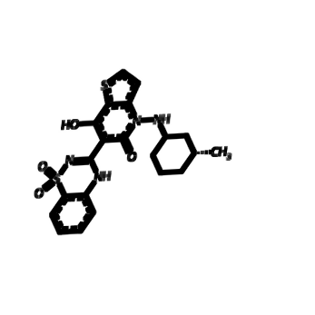 C[C@@H]1CCCC(Nn2c(=O)c(C3=NS(=O)(=O)c4ccccc4N3)c(O)c3sccc32)C1